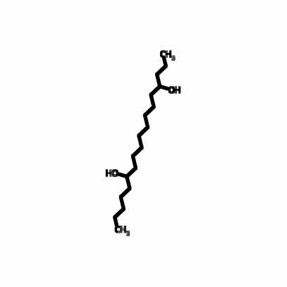 CCCCCC(O)CCCCCCCCC(O)CCC